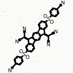 N#CC(C#N)=C1c2cc(S(=O)(=O)c3ccc(C#N)cc3)ccc2-c2cc3c(cc21)-c1ccc(S(=O)(=O)c2ccc(C#N)cc2)cc1C3=C(C#N)C#N